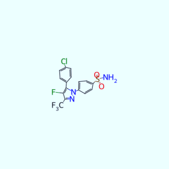 NS(=O)(=O)c1ccc(-n2nc(C(F)(F)F)c(F)c2-c2ccc(Cl)cc2)cc1